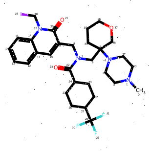 CN1CCN(C2(CN(Cc3cc4ccccc4n(CI)c3=O)C(=O)C3CCC(C(F)(F)F)CC3)CCCOC2)CC1